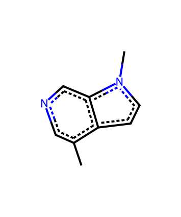 Cc1cncc2c1ccn2C